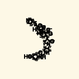 O=C(C[n+]1ccc(CN2CCC(=CC3=C(C(=O)[O-])N4C(=O)[C@@H](NC(=O)CSc5ccncc5)[C@H]4SC3)C2=O)cc1)Nc1ccc(O)cc1